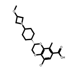 COC1CN(C2CCC([C@H]3COc4c(Cl)cc(C(=O)O)c(C)c4O3)CC2)C1